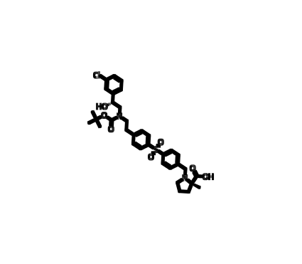 CC(C)(C)OC(=O)N(CCc1ccc(S(=O)(=O)c2ccc(CN3CCC[C@@]3(C)C(=O)O)cc2)cc1)C[C@H](O)c1cccc(Cl)c1